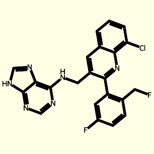 FCc1ccc(F)cc1-c1nc2c(Cl)cccc2cc1CNc1ncnc2[nH]cnc12